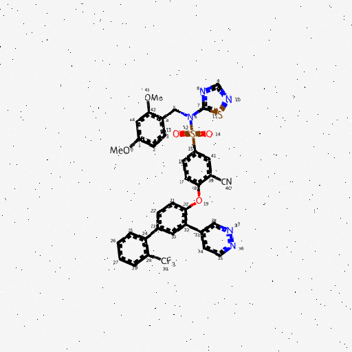 COc1ccc(CN(c2ncns2)S(=O)(=O)c2ccc(Oc3ccc(-c4ccccc4C(F)(F)F)cc3-c3ccnnc3)c(C#N)c2)c(OC)c1